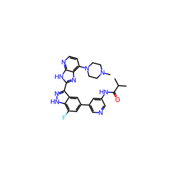 CC(C)C(=O)Nc1cncc(-c2cc(F)c3[nH]nc(-c4nc5c(N6CCN(C)CC6)ccnc5[nH]4)c3c2)c1